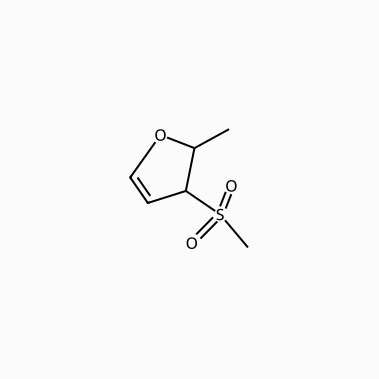 CC1OC=CC1S(C)(=O)=O